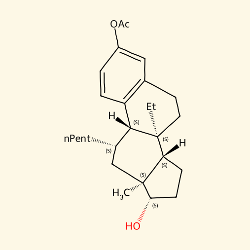 CCCCC[C@H]1C[C@@]2(C)[C@@H](CC[C@@H]2O)[C@]2(CC)CCc3cc(OC(C)=O)ccc3[C@@H]12